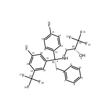 O[C@H](CN[C@](Cc1ccccc1)(c1ccc(F)cc1)c1cc(F)cc(C(F)(F)F)c1)C(F)(F)F